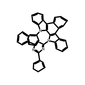 C1=CC(c2nc(-c3ccccc3)nc(-n3c4ccccc4c4c5ccccc5c5c6ccccc6n(-c6ccccc6)c5c43)n2)=CCC1